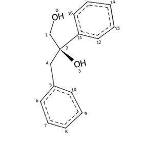 OC[C@@](O)(Cc1ccccc1)c1ccccc1